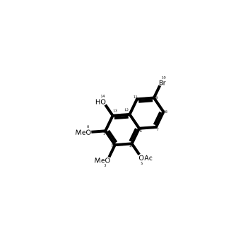 COc1c(OC)c(OC(C)=O)c2ccc(Br)cc2c1O